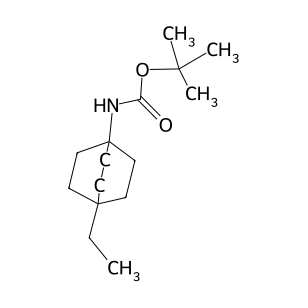 CCC12CCC(NC(=O)OC(C)(C)C)(CC1)CC2